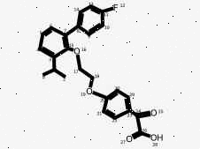 CC(C)c1cccc(-c2ccc(F)cc2)c1OCCOc1ccc(C(=O)C(=O)O)cc1